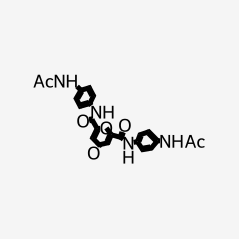 CC(=O)Nc1ccc(NC(=O)c2cc(=O)cc(C(=O)Nc3ccc(NC(C)=O)cc3)o2)cc1